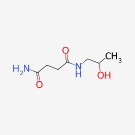 CC(O)CNC(=O)CCC(N)=O